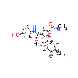 CNC(=O)c1cc(C(=O)N[C@H]2CC[C@H](O)CC2)c([C@@H](C)c2ccc(C)c(Cl)c2)o1